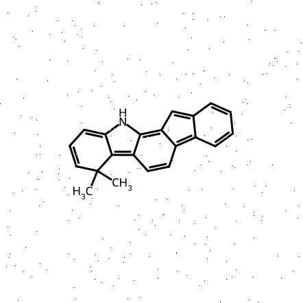 CC1(C)C=CC=c2[nH]c3c4c(ccc3c21)=c1ccccc1=C4